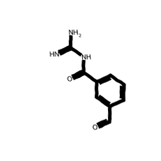 N=C(N)NC(=O)c1cccc(C=O)c1